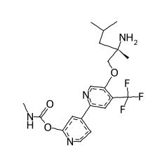 CNC(=O)Oc1cc(-c2cc(C(F)(F)F)c(OC[C@@](C)(N)CC(C)C)cn2)ccn1